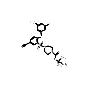 Cc1cc(Cl)cc(Sc2ccc(C#N)cc2S(=O)(=O)N2CCN(C(=O)OC(C)(C)C)CC2)c1